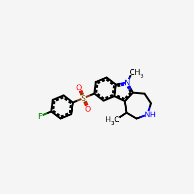 CC1CNCCc2c1c1cc(S(=O)(=O)c3ccc(F)cc3)ccc1n2C